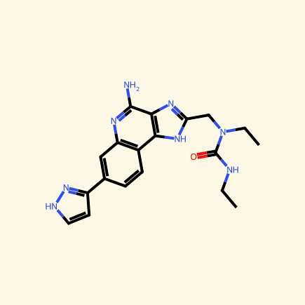 CCNC(=O)N(CC)Cc1nc2c(N)nc3cc(-c4cc[nH]n4)ccc3c2[nH]1